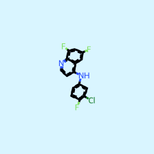 Fc1cc(F)c2nccc(Nc3ccc(F)c(Cl)c3)c2c1